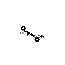 CC(C)Oc1ccccc1OCCNCCCC(O)c1ccc(F)cc1